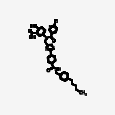 CCCCCc1ccc(CNC(=O)c2ccc(-c3nc(CN(C(=O)c4ccc(Cl)nc4)c4ccc(O)c(C(=O)O)c4)cs3)cc2)cc1